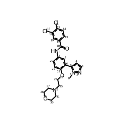 Cn1nccc1-c1cc(NC(=O)c2ccc(Cl)c(Cl)c2)ccc1OCCN1CCOCC1